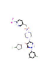 O=c1c(OC2CCC(F)C2)c(N2CCN(S(=O)(=O)Cc3ccc([N+](=O)[O-])nc3)CC2)cnn1-c1cc(F)cc(F)c1